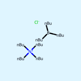 CCCCB(CCCC)CCCC.CCCC[N+](CCCC)(CCCC)CCCC.[Cl-]